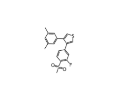 Cc1cc(C)cc(-c2cscc2-c2ccc(S(C)(=O)=O)c(F)c2)c1